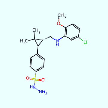 COc1ccc(Cl)cc1NC[C@@H]1[C@@H](c2ccc(S(=O)(=O)NN)cc2)C1(C)C